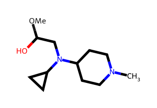 COC(O)CN(C1CC1)C1CCN(C)CC1